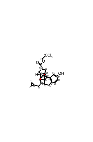 O=C(OCC(Cl)(Cl)Cl)N1C[C@H]2CC34CCC1C2C31CCN(CC2CC2)C4Cc2ccc(O)cc21